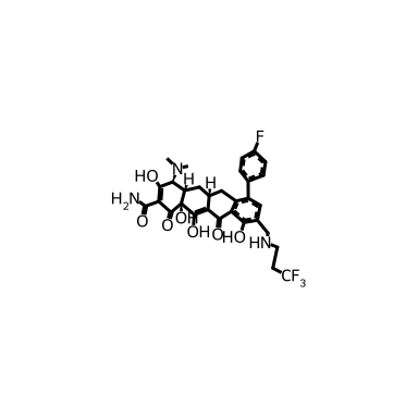 CN(C)[C@@H]1C(O)=C(C(N)=O)C(=O)[C@@]2(O)C(O)=C3C(=O)c4c(O)c(CNCCC(F)(F)F)cc(-c5ccc(F)cc5)c4C[C@H]3C[C@@H]12